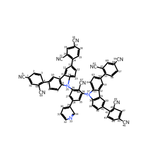 N#Cc1ccc(-c2ccc3c(c2)c2cc(-c4ccc(C#N)cc4C#N)ccc2n3-c2cc(-c3cccnc3)cc(-n3c4ccc(-c5ccc(C#N)cc5C#N)cc4c4cc(-c5ccc(C#N)cc5C#N)ccc43)c2C#N)c(C#N)c1